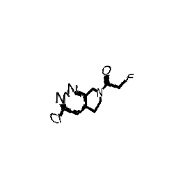 O=C(CF)N1CCc2cc(Cl)nnc2C1